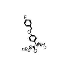 CCCCOC(=O)N(N)c1ccc(OCc2ccc(F)cc2)cc1